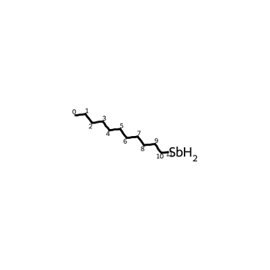 CCCCCCCCCC[CH2][SbH2]